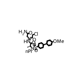 CCCN([C@@H](C)C(=O)NN(CC(N)=O)C(=O)CCl)S(=O)(=O)c1ccc(-c2ccc(OC)cc2)cc1